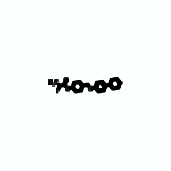 C[C@H](F)C(=O)OC1CCC(COc2ccc(C3CC[CH]CC3)cc2)CC1